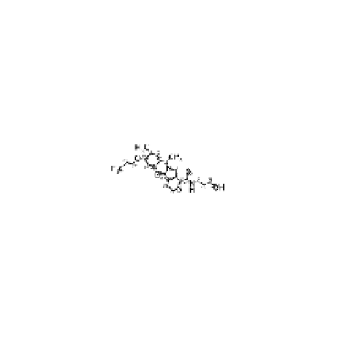 Cc1cc(C(C)N2Cc3c(ccnc3C(=O)NCCCO)C2=O)ncc1OCCC(F)(F)F